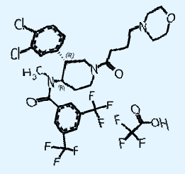 CN(C(=O)c1cc(C(F)(F)F)cc(C(F)(F)F)c1)[C@@H]1CCN(C(=O)CCCN2CCOCC2)C[C@H]1c1ccc(Cl)c(Cl)c1.O=C(O)C(F)(F)F